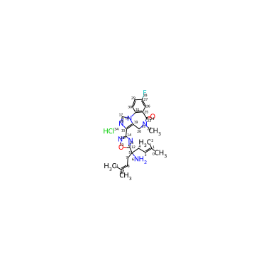 CC(C)=CCC(N)(CC=C(C)C)c1nc(-c2ncn3c2CN(C)C(=O)c2cc(F)ccc2-3)no1.Cl